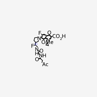 COc1c(N2CCC/C(=C(\F)CNC(=O)CNC(=O)CCC(C)=O)C2)c(F)cc2c(=O)c(C(=O)O)cn(C3CC3)c12